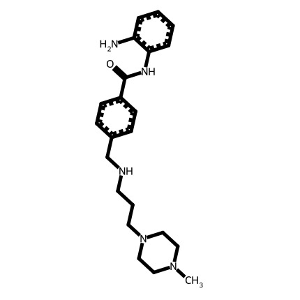 CN1CCN(CCCNCc2ccc(C(=O)Nc3ccccc3N)cc2)CC1